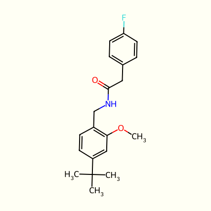 COc1cc(C(C)(C)C)ccc1CNC(=O)Cc1ccc(F)cc1